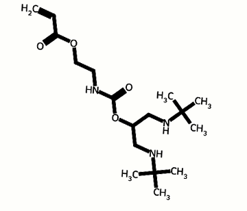 C=CC(=O)OCCNC(=O)OC(CNC(C)(C)C)CNC(C)(C)C